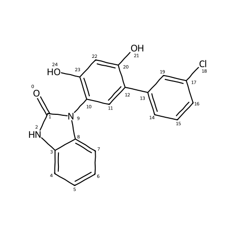 O=c1[nH]c2ccccc2n1-c1cc(-c2cccc(Cl)c2)c(O)cc1O